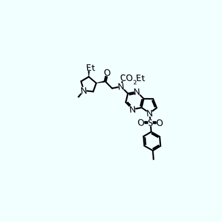 CCOC(=O)N(CC(=O)[C@H]1CN(C)C[C@H]1CC)c1cnc2c(ccn2S(=O)(=O)c2ccc(C)cc2)n1